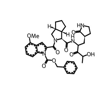 COc1cccc2c1cc(C(=O)N1C[C@@H]3CCC[C@@H]3[C@H]1C(=O)NC(C[C@@H]1CCNC1=O)C(=O)C(C)O)n2C(=O)OCc1ccccc1